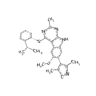 COc1cc2c(cc1-c1c(C)noc1C)[nH]c1nc(C)nc(Sc3ccccc3C(C)C)c12